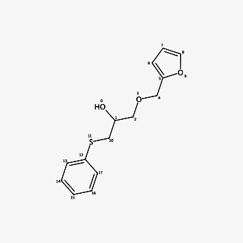 OC(COCc1ccco1)CSc1ccccc1